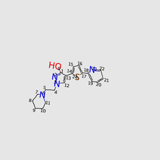 Oc1nn(CCN2CCCCC2)cc1-c1ccc(-c2ccccn2)s1